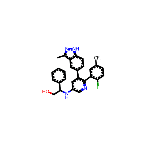 Cc1n[nH]c2ccc(-c3cc(NC(CO)c4ccccc4)cnc3-c3cc(C(F)(F)F)ccc3F)cc12